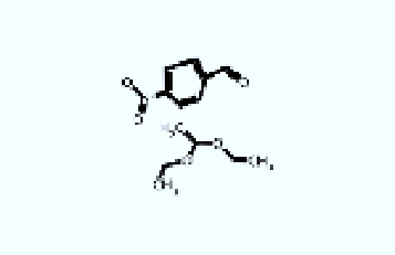 CCOC(C)OCC.O=Cc1ccc([N+](=O)[O-])cc1